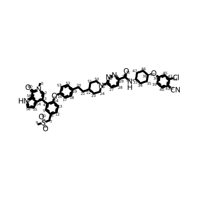 Cn1cc(-c2cc(CS(C)(=O)=O)ccc2Oc2ccc(CCC3CCN(c4ccc(C(=O)N[C@H]5CC[C@H](Oc6ccc(C#N)c(Cl)c6)CC5)nn4)CC3)cc2)c2cc[nH]c2c1=O